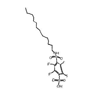 CCCCCCCCCCCCNS(=O)(=O)c1c(F)c(F)c(S(=O)(=O)O)c(F)c1F